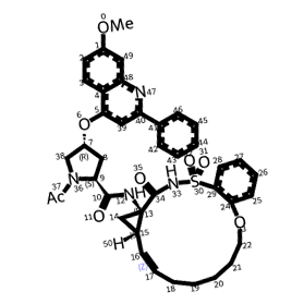 COc1ccc2c(O[C@@H]3C[C@@H](C(=O)N[C@]45C[C@H]4/C=C\CCCCCOc4ccccc4S(=O)(=O)NC5=O)N(C(C)=O)C3)cc(-c3ccccc3)nc2c1